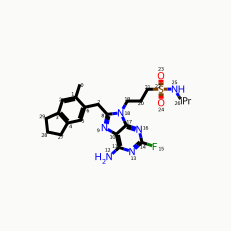 Cc1cc2c(cc1Cc1nc3c(N)nc(F)nc3n1CCCS(=O)(=O)NC(C)C)CCC2